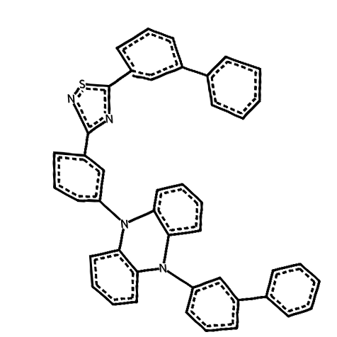 c1ccc(-c2cccc(-c3nc(-c4cccc(N5c6ccccc6N(c6cccc(-c7ccccc7)c6)c6ccccc65)c4)ns3)c2)cc1